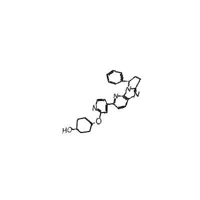 O[C@H]1CC[C@H](Oc2cc(-c3ccc4nc5n(c4n3)[C@@H](c3ccccc3)CC5)ccn2)CC1